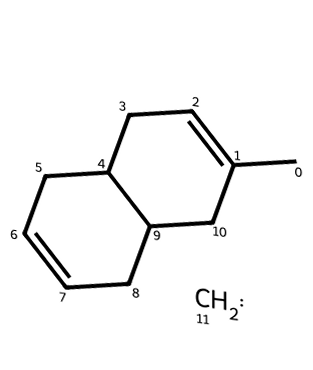 CC1=CCC2CC=CCC2C1.[CH2]